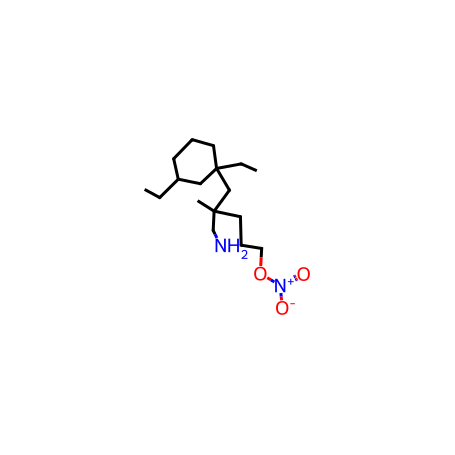 CCC1CCCC(CC)(CC(C)(CN)CCCO[N+](=O)[O-])C1